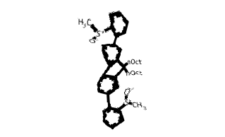 CCCCCCCCC1(CCCCCCCC)c2cc(-c3ccccc3[S+](C)[O-])ccc2-c2ccc(-c3ccccc3[S+](C)[O-])cc21